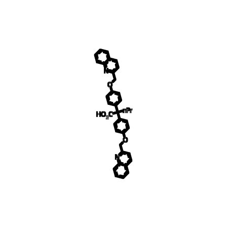 CCCC(C(=O)O)(c1ccc(OCc2ccc3ccccc3n2)cc1)c1ccc(OCc2ccc3ccccc3n2)cc1